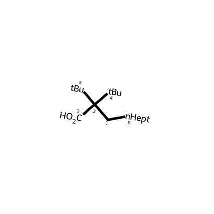 CCCCCCCCC(C(=O)O)(C(C)(C)C)C(C)(C)C